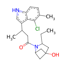 CCC1CC2(O)CC(C2)N1C(=O)CC(C)c1c[nH]c2ccc(C)c(Cl)c12